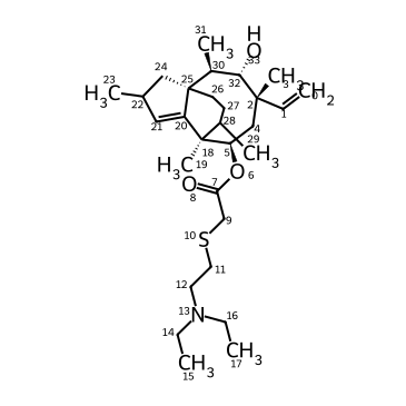 C=C[C@]1(C)C[C@@H](OC(=O)CSCCN(CC)CC)[C@@]2(C)C3=CC(C)C[C@@]3(CCC2C)[C@@H](C)[C@@H]1O